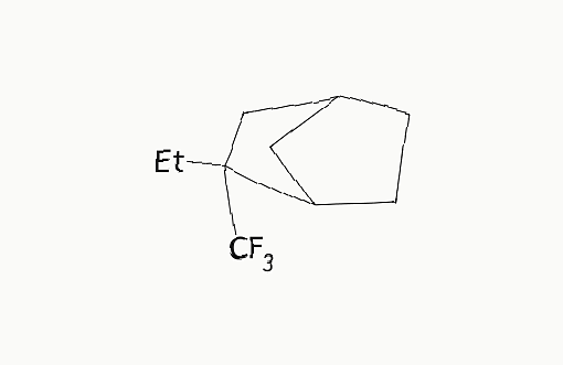 CCC1(C(F)(F)F)CC2CCC1C2